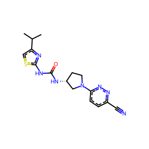 CC(C)c1csc(NC(=O)N[C@@H]2CCN(c3ccc(C#N)nn3)C2)n1